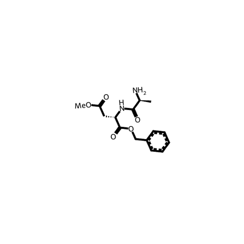 COC(=O)C[C@H](NC(=O)[C@H](C)N)C(=O)OCc1ccccc1